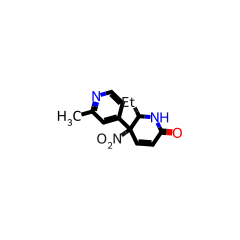 CCC1NC(=O)C=CC1(c1ccnc(C)c1)[N+](=O)[O-]